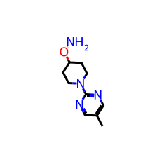 Cc1cnc(N2CCC(ON)CC2)nc1